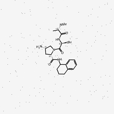 CN[C@@H](C)C(=O)N[C@H](C(=O)N1C[C@@H](N)C[C@H]1C(=O)NC1CCCc2ccccc21)C(C)(C)C